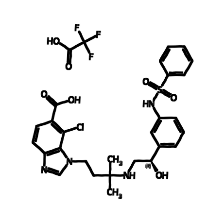 CC(C)(CCn1cnc2ccc(C(=O)O)c(Cl)c21)NC[C@H](O)c1cccc(NS(=O)(=O)c2ccccc2)c1.O=C(O)C(F)(F)F